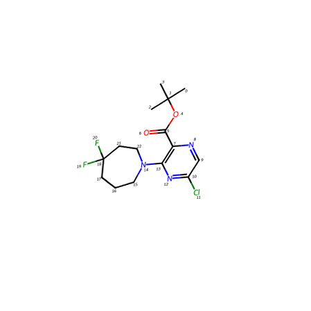 CC(C)(C)OC(=O)c1ncc(Cl)nc1N1CCCC(F)(F)CC1